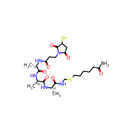 BC(=O)CCCCCSCNC(=O)[C@H](C)NC(=O)[C@@H](C)NC(=O)[C@H](C)NC(=O)CCN1C(=O)CC(S)C1=O